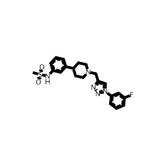 CS(=O)(=O)Nc1cccc(C2CCN(Cc3cn(-c4cccc(F)c4)nn3)CC2)c1